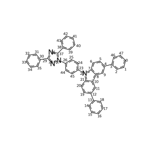 c1ccc(-c2ccc3c(c2)c2cc(-c4ccccc4)ccc2n3-c2ccc(-n3nc(-c4ccccc4)nc3-c3ccccc3)cc2)cc1